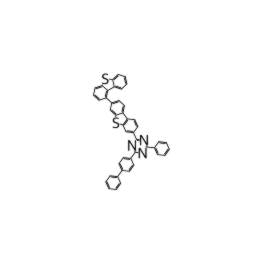 c1ccc(-c2ccc(-c3nc(-c4ccccc4)nc(-c4ccc5c(c4)sc4cc(-c6cccc7sc8ccccc8c67)ccc45)n3)cc2)cc1